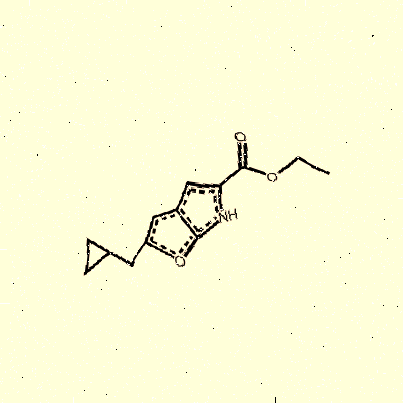 CCOC(=O)c1cc2cc(CC3CC3)oc2[nH]1